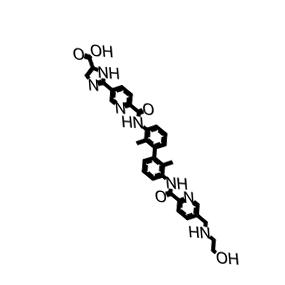 Cc1c(NC(=O)c2ccc(CNCCO)cn2)cccc1-c1cccc(NC(=O)c2ccc(C3=NCC(C(=O)O)N3)cn2)c1C